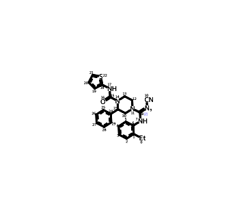 CCc1ccccc1N/C(=N/C#N)N1CCN(C(=O)Nc2cccs2)C(c2ccccc2)C1